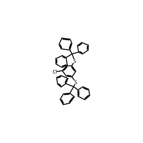 Clc1cc(SC(c2ccccc2)(c2ccccc2)c2ccccc2)cc(SC(c2ccccc2)(c2ccccc2)c2ccccc2)c1